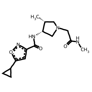 CNC(=O)CN1C[C@@H](C)[C@@H](NC(=O)c2cc(C3CC3)on2)C1